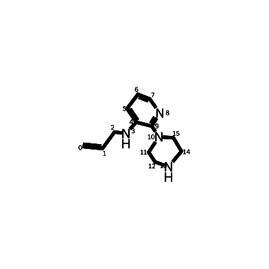 C=CCNc1cccnc1N1CCNCC1